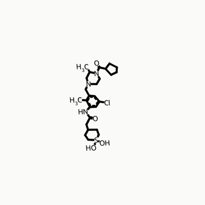 Cc1c(CN2CCN(C(=O)C3CCCC3)C(C)C2)cc(Cl)cc1NC(=O)CC1CCS(O)(O)CC1